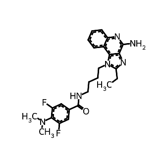 CCc1nc2c(N)nc3ccccc3c2n1CCCCNC(=O)c1cc(F)c(N(C)C)c(F)c1